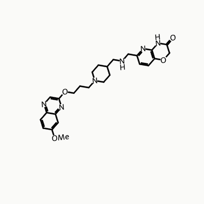 COc1ccc2ncc(OCCCN3CCC(CNCc4ccc5c(n4)NC(=O)CO5)CC3)nc2c1